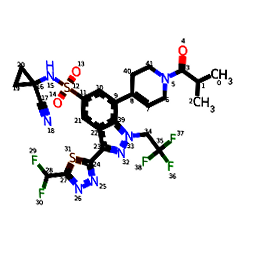 CC(C)C(=O)N1CC=C(c2cc(S(=O)(=O)NC3(C#N)CC3)cc3c(-c4nnc(C(F)F)s4)nn(CC(F)(F)F)c23)CC1